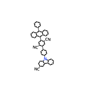 N#Cc1ccc2c(c1)c1ccccc1n2-c1ccc(-c2cc(C#N)c(-c3c4ccccc4c(-c4ccccc4)c4ccccc34)cc2C#N)cc1